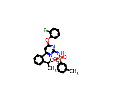 Cc1cccc(S(=O)(=O)Nc2nc(Oc3ccccc3F)cc(-c3ccccc3C(C)C)n2)c1